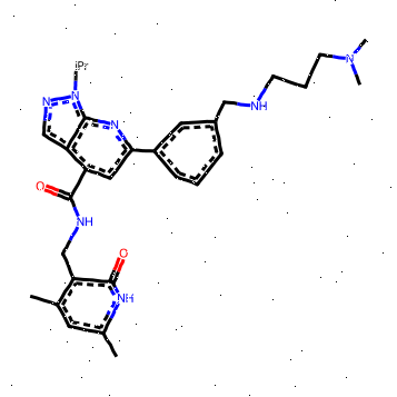 Cc1cc(C)c(CNC(=O)c2cc(-c3cccc(CNCCCN(C)C)c3)nc3c2cnn3C(C)C)c(=O)[nH]1